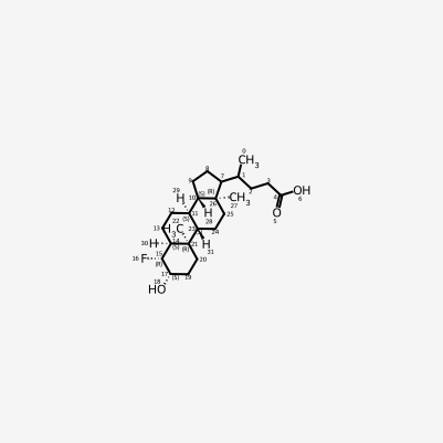 CC(CCC(=O)O)C1CC[C@H]2[C@@H]3CC[C@@H]4[C@@H](F)[C@@H](O)CC[C@]4(C)[C@H]3CC[C@]12C